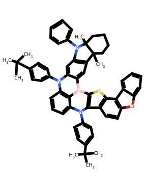 CC(C)(C)c1ccc(N2c3cc4c(cc3B3c5sc6c(ccc7oc8ccccc8c76)c5N(c5ccc(C(C)(C)C)cc5)c5cccc2c53)C2(C)CCCCC2(C)N4c2ccccc2)cc1